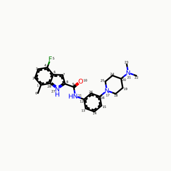 Cc1ccc(F)c2cc(C(=O)Nc3cccc(N4CCC(N(C)C)CC4)c3)[nH]c12